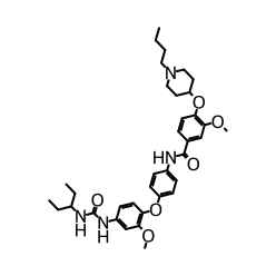 CCCCN1CCC(Oc2ccc(C(=O)Nc3ccc(Oc4ccc(NC(=O)NC(CC)CC)cc4OC)cc3)cc2OC)CC1